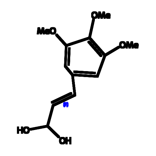 COc1cc(/C=C/C(O)O)cc(OC)c1OC